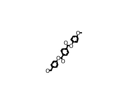 COc1ccc(OC(=O)c2ccc(C(=O)Oc3ccc(C=O)cc3)cc2)cc1